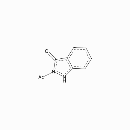 CC(=O)n1[nH]c2ccccc2c1=O